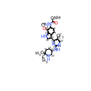 COC(=O)Nc1ccc2c(-c3nc(N[C@H]4CCC(C)(C)NC4)ncc3C(F)(F)F)c[nH]c2c1OC(F)(F)F